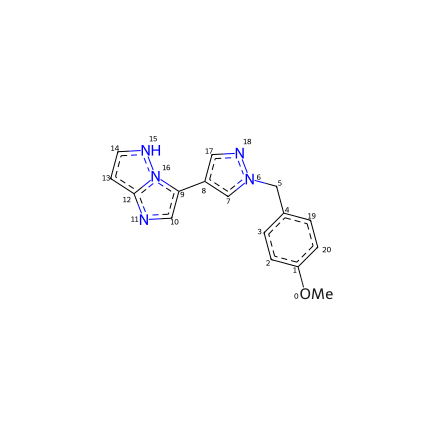 COc1ccc(Cn2cc(-c3cnc4cc[nH]n34)cn2)cc1